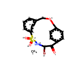 C.O=C1c2ccc(cc2)OCc2cccc(c2)S(=O)(=O)NC1Br